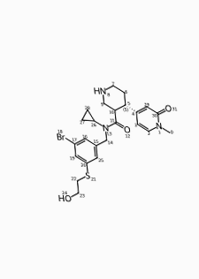 Cn1ccc([C@H]2CCNCC2C(=O)N(Cc2cc(Br)cc(SCCO)c2)C2CC2)cc1=O